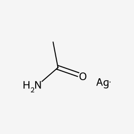 CC(N)=O.[Ag]